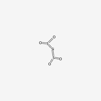 O=S(=O)=[Si]=S(=O)=O